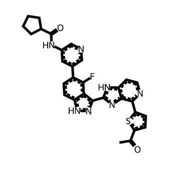 CC(=O)c1ccc(-c2nccc3[nH]c(-c4n[nH]c5ccc(-c6cncc(NC(=O)C7CCCC7)c6)c(F)c45)nc23)s1